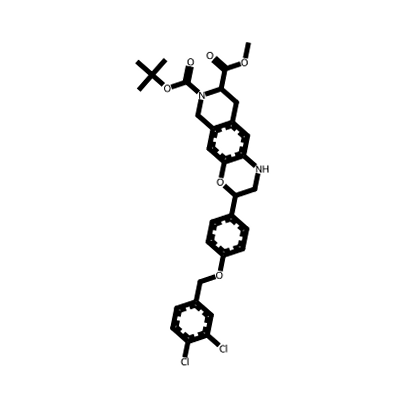 COC(=O)C1Cc2cc3c(cc2CN1C(=O)OC(C)(C)C)OC(c1ccc(OCc2ccc(Cl)c(Cl)c2)cc1)CN3